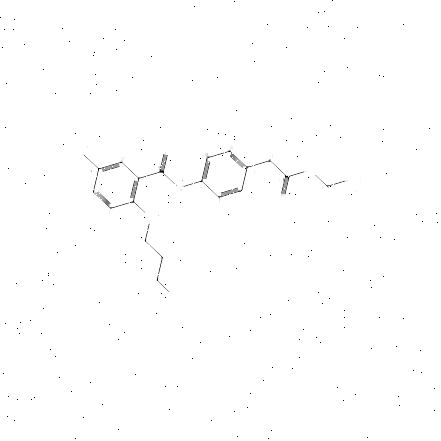 CCCCOc1ccc(Cl)cc1C(=O)Nc1ccc(CC(=O)OCC)cc1